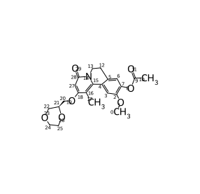 COc1cc2c(cc1OC(C)=O)CCn1c-2c(C)c(OC[C@@H]2COCCO2)cc1=O